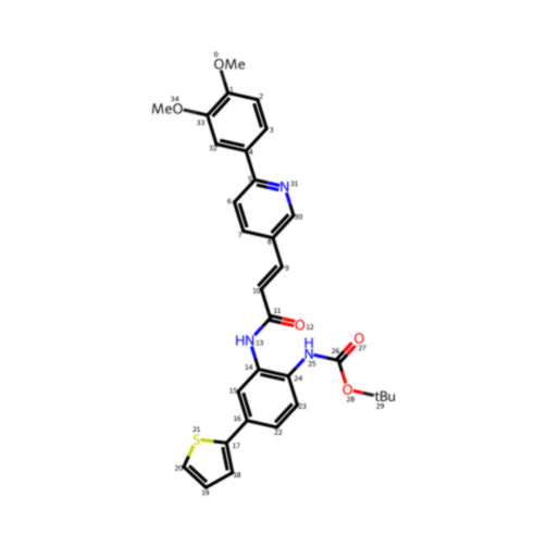 COc1ccc(-c2ccc(C=CC(=O)Nc3cc(-c4cccs4)ccc3NC(=O)OC(C)(C)C)cn2)cc1OC